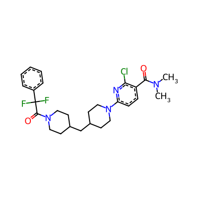 CN(C)C(=O)c1ccc(N2CCC(CC3CCN(C(=O)C(F)(F)c4ccccc4)CC3)CC2)nc1Cl